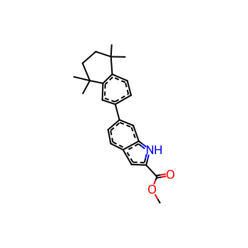 COC(=O)c1cc2ccc(-c3ccc4c(c3)C(C)(C)CCC4(C)C)cc2[nH]1